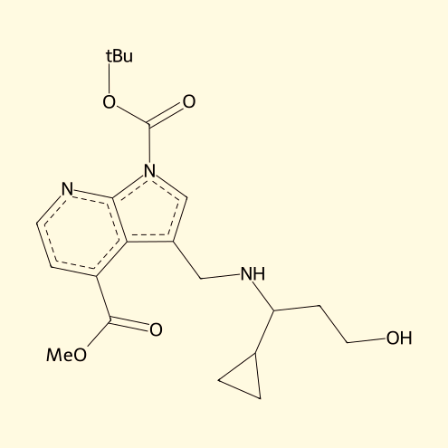 COC(=O)c1ccnc2c1c(CNC(CCO)C1CC1)cn2C(=O)OC(C)(C)C